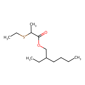 CCCCC(CC)COC(=O)C(C)SCC